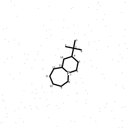 CC(C)(C)C1CCP2CCCCCC2C1